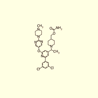 CC(c1cc(Oc2cnc(N3CCN(C)CC3)nc2)nc(-c2cc(Cl)cc(Cl)c2)c1)N1CCC(COC(N)=O)CC1